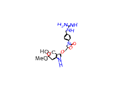 COC(=O)Cc1[nH]cc(OCC2CN(c3ccc(CNC(=N)N)cc3)C(=O)O2)c1C(=O)O